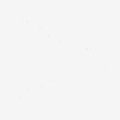 CCCCC/C=C/CC1C(CCCCCC)C=CC(CCCCCCCC(=O)NCCNCCNCCN)C1CCCCCCCC(=O)NCCNCCNCCNC(C)=O